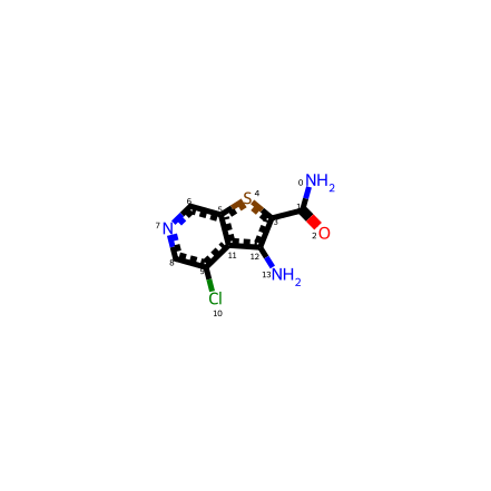 NC(=O)c1sc2cncc(Cl)c2c1N